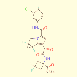 CNC(=O)C1(NC(=O)C(=O)c2c(C)c(C(=O)Nc3ccc(F)c(Cl)c3)n3c2[C@]2(F)C[C@]2(F)C3)CC(F)(F)C1